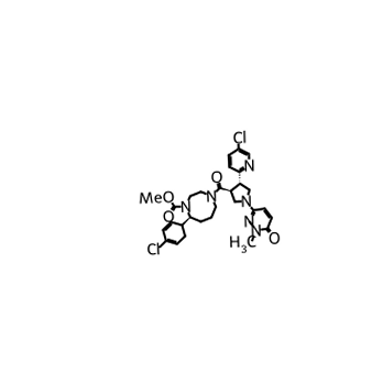 COC(=O)N1CCN(C(=O)[C@@H]2CN(c3ccc(=O)n(C)n3)C[C@H]2c2ccc(Cl)cn2)CCC[C@H]1C1C=CC(Cl)=CC1